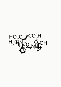 C=CC[C@@]1(C(=O)N[C@@H](CCC(=O)O)C(=O)O)CCCN1C(=O)CN.O=C(O)C(F)(F)F